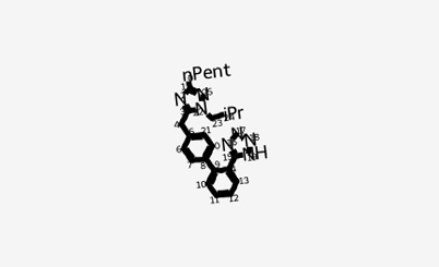 CCCCCc1nc(Cc2ccc(-c3ccccc3-c3nnn[nH]3)cc2)n(CC(C)C)n1